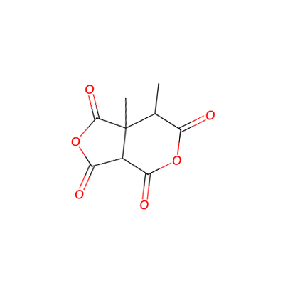 CC1C(=O)OC(=O)C2C(=O)OC(=O)C12C